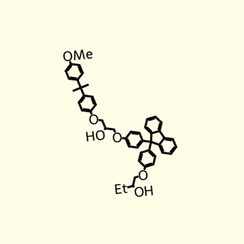 CCC(O)COc1ccc(C2(c3ccc(OCC(O)COc4ccc(C(C)(C)c5ccc(OC)cc5)cc4)cc3)c3ccccc3-c3ccccc32)cc1